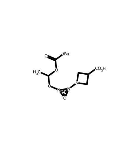 CC(OC(=O)C(C)(C)C)On1on1N1CC(C(=O)O)C1